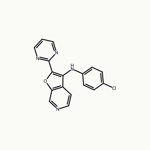 Clc1ccc(Nc2c(-c3ncccn3)oc3cnccc23)cc1